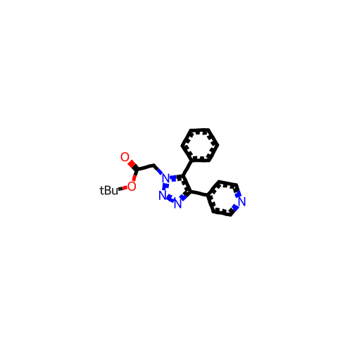 CC(C)(C)OC(=O)Cn1nnc(-c2ccncc2)c1-c1ccccc1